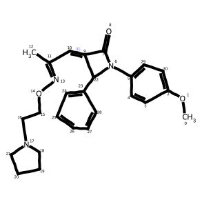 COc1ccc(N2C(=O)/C(=C/C(C)=NOCCN3CCCC3)C2c2ccccc2)cc1